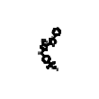 Nc1nc(Nc2ccc(S(N)(=O)=O)cc2)sc1C1=N[C@@H](c2ccccc2)CO1